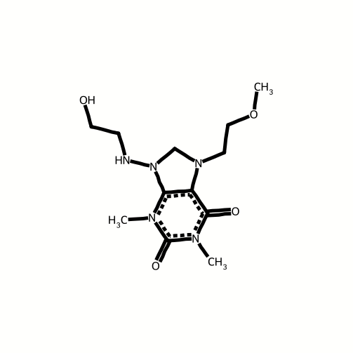 COCCN1CN(NCCO)c2c1c(=O)n(C)c(=O)n2C